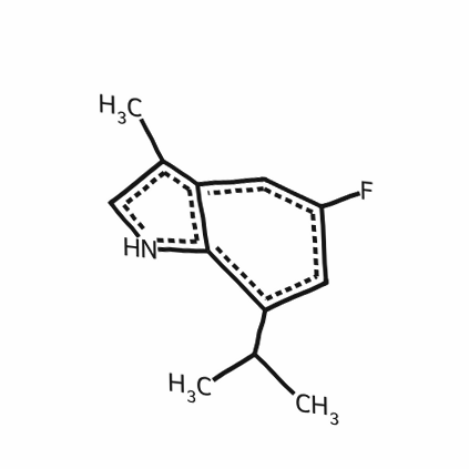 Cc1c[nH]c2c(C(C)C)cc(F)cc12